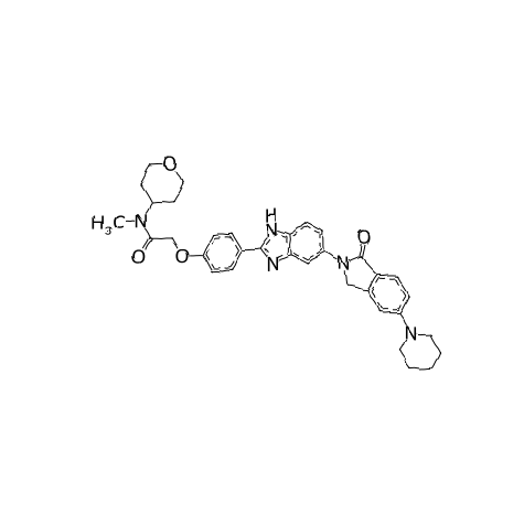 CN(C(=O)COc1ccc(-c2nc3cc(N4Cc5cc(N6CCCCC6)ccc5C4=O)ccc3[nH]2)cc1)C1CCOCC1